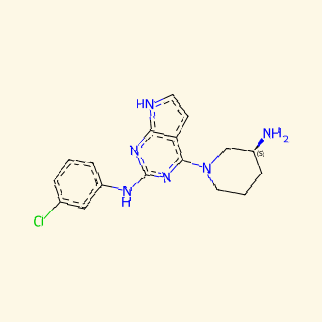 N[C@H]1CCCN(c2nc(Nc3cccc(Cl)c3)nc3[nH]ccc23)C1